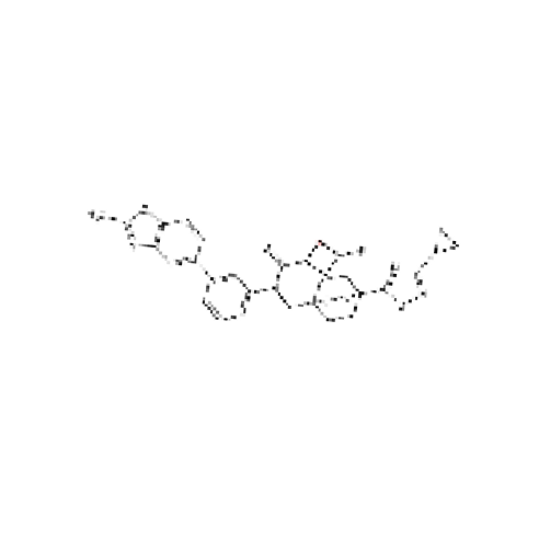 Cc1nc2cc(-c3cccc(N(CC45CCC(c6nc(C7CC7)no6)(CC4)CC5)C(=O)C45CC(F)(C4)C5)c3)ccc2o1